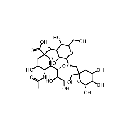 CC(=O)N[C@@H]1C(O)C[C@](OC2[C@H](O)C(OCC3(CO)CC(O)C(O)[C@H](O)O3)OC(CO)[C@@H]2O)(C(=O)O)OC1[C@H](O)[C@H](O)CO